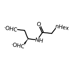 CCCCCCCC(=O)N[C@@H]([C]=O)C[C]=O